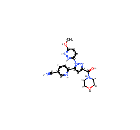 COc1ccc(-n2nc(C(=O)N3CCOCC3)cc2-c2ccc(C#N)cn2)nn1